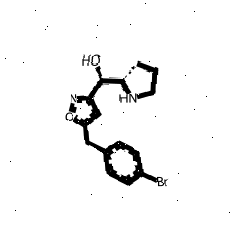 O[C@H](c1cc(Cc2ccc(Br)cc2)on1)[C@@H]1CCCN1